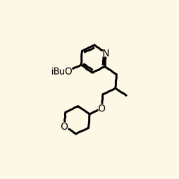 CC(C)COc1ccnc(CC(C)COC2CCOCC2)c1